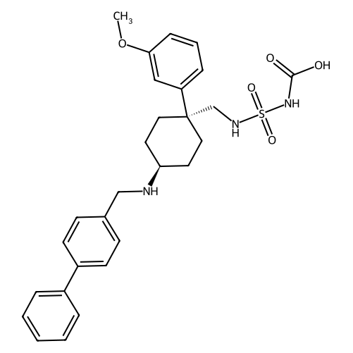 COc1cccc([C@]2(CNS(=O)(=O)NC(=O)O)CC[C@H](NCc3ccc(-c4ccccc4)cc3)CC2)c1